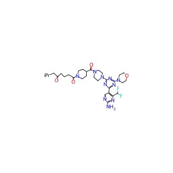 CC(C)CC(=O)CCCC(=O)N1CCC(C(=O)N2CCN(c3nc(-c4cnc(N)nc4C(F)F)nc(N4CCOCC4)n3)CC2)CC1